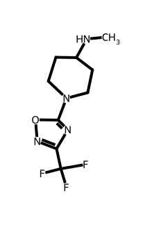 CNC1CCN(c2nc(C(F)(F)F)no2)CC1